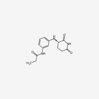 CCC(=O)Nc1cccc(N[C@@H]2CCC(=O)NC2=O)c1